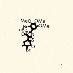 CCCCn1c(-c2cc(OC)c(OC)c(OC)c2Br)nc2sc3c(c2c1=O)CC(C)C(Br)C3=O